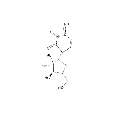 [2H]n1c(=N)ccn([C@@H]2O[C@H](CO)[C@@H](O)[C@@]2([2H])O)c1=O